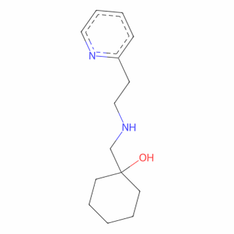 OC1(CNCCc2ccccn2)CCCCC1